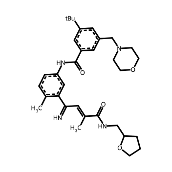 C/C(=C\C(=N)c1cc(NC(=O)c2cc(CN3CCOCC3)cc(C(C)(C)C)c2)ccc1C)C(=O)NCC1CCCO1